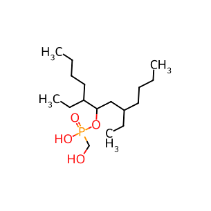 CCCCC(CC)CC(OP(=O)(O)CO)C(CC)CCCC